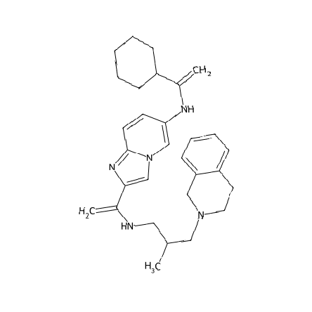 C=C(NCC(C)CN1CCc2ccccc2C1)c1cn2cc(NC(=C)C3CCCCC3)ccc2n1